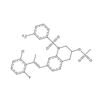 CC(=Cc1ccc2c(c1)N(S(=O)(=O)c1cccc(C(F)(F)F)c1)CC(OS(C)(=O)=O)C2)c1c(F)cccc1Cl